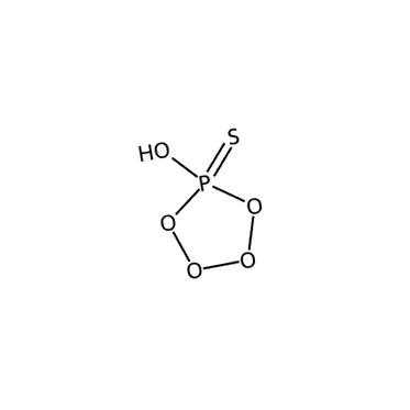 OP1(=S)OOOO1